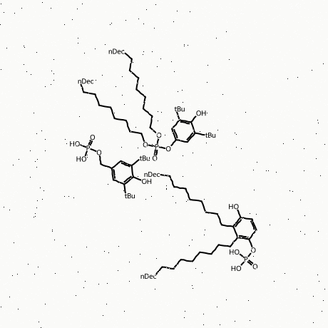 CC(C)(C)c1cc(COP(=O)(O)O)cc(C(C)(C)C)c1O.CCCCCCCCCCCCCCCCCCOP(=O)(OCCCCCCCCCCCCCCCCCC)Oc1cc(C(C)(C)C)c(O)c(C(C)(C)C)c1.CCCCCCCCCCCCCCCCCCc1c(O)ccc(OP(=O)(O)O)c1CCCCCCCCCCCCCCCCCC